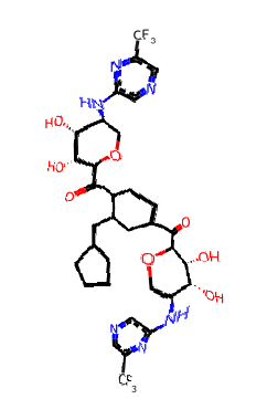 O=C(C1CCC(C(=O)C2OC[C@H](Nc3cncc(C(F)(F)F)n3)[C@@H](O)[C@H]2O)C(CC2CCCC2)C1)C1OC[C@H](Nc2cncc(C(F)(F)F)n2)[C@@H](O)[C@H]1O